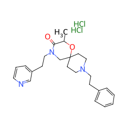 CC1OC2(CCN(CCc3ccccc3)CC2)CN(CCc2cccnc2)C1=O.Cl.Cl